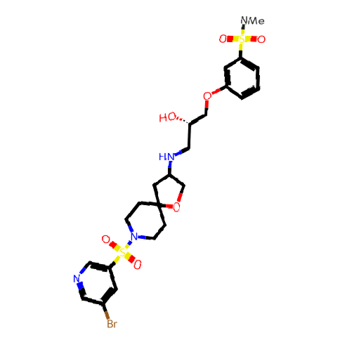 CNS(=O)(=O)c1cccc(OC[C@@H](O)CNC2COC3(CCN(S(=O)(=O)c4cncc(Br)c4)CC3)C2)c1